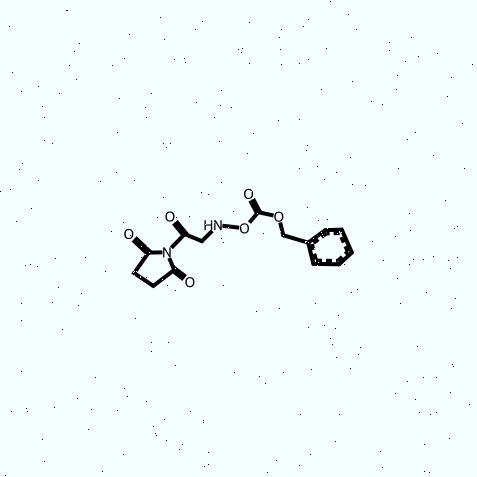 O=C(OCc1ccccc1)ONCC(=O)N1C(=O)CCC1=O